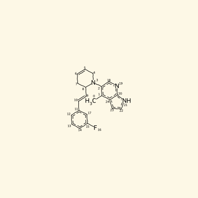 Cc1c(N2CC=CCC2C=Cc2cccc(F)c2)cnc2[nH]ccc12